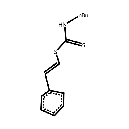 CCCCNC(=S)SC=Cc1ccccc1